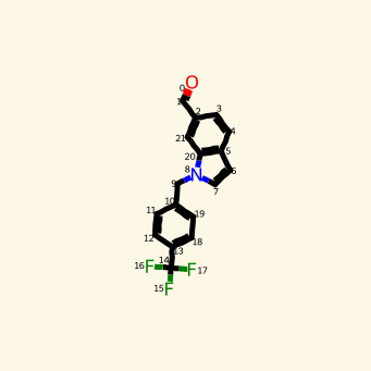 O=Cc1ccc2ccn(Cc3ccc(C(F)(F)F)cc3)c2c1